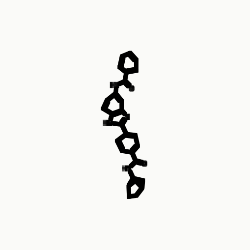 O=C(Nc1ccc2[nH]c(-c3ccc(C(=O)NC4CC5CCC4C5)cc3)nc2c1)c1ccccc1